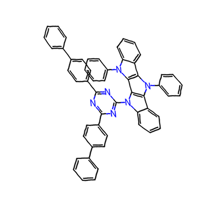 c1ccc(-c2ccc(-c3nc(-c4ccc(-c5ccccc5)cc4)nc(-n4c5ccccc5c5c4c4c(c6ccccc6n4-c4ccccc4)n5-c4ccccc4)n3)cc2)cc1